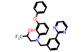 OC(CN(Cc1cccc(-c2ncccn2)c1)c1cccc(Oc2ccccc2)c1)C(F)(F)F